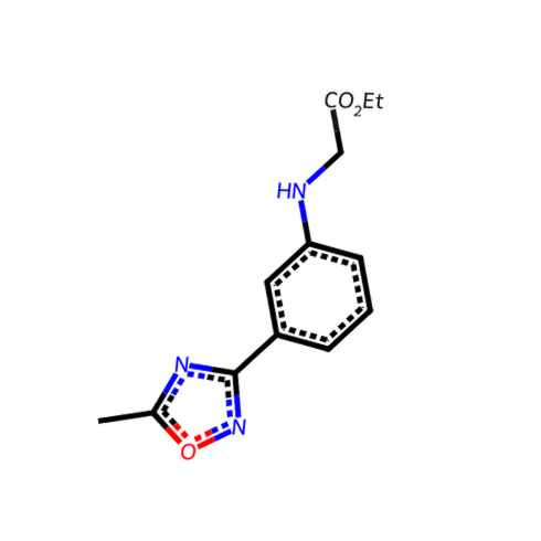 CCOC(=O)CNc1cccc(-c2noc(C)n2)c1